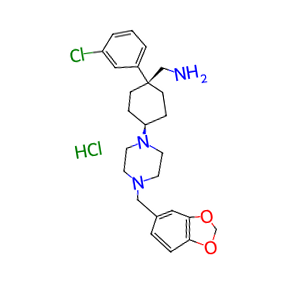 Cl.NC[C@]1(c2cccc(Cl)c2)CC[C@H](N2CCN(Cc3ccc4c(c3)OCO4)CC2)CC1